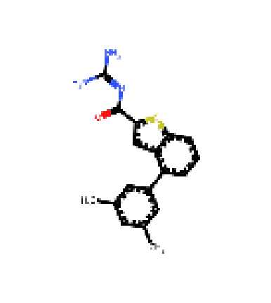 Cc1cc(C)cc(-c2cccc3sc(C(=O)N=C(N)N)cc23)c1